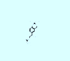 CC1(C)OCc2cc([C@H](O)COC(N)=O)ccc2O1